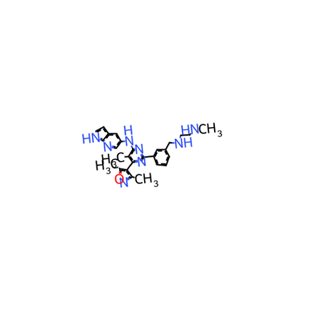 CNCCNCc1cccc(-c2nc(Nc3cnc4[nH]ccc4c3)c(C)c(-c3c(C)noc3C)n2)c1